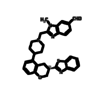 Cn1c(CN2CCC(c3cccc4c3C[C@H](c3nc5ccccc5s3)CO4)CC2)nc2ccc(C=O)cc21